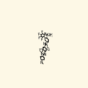 COc1cc(/N=N/c2ccc(C(=O)O)c(-c3c(F)c(F)c(F)c(F)c3F)c2)c(OC)cc1/N=N/c1ccc(N(C)C)cc1